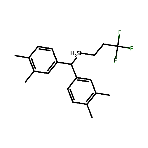 Cc1ccc(C([SiH2]CCC(F)(F)F)c2ccc(C)c(C)c2)cc1C